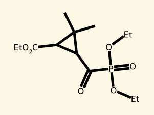 CCOC(=O)C1C(C(=O)P(=O)(OCC)OCC)C1(C)C